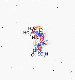 CC(O)[C@H](NC(=O)CNC(=O)[C@H](Cc1ccc(O)cc1)NC(=O)[C@H](C)NC(=O)[C@H](CC(=O)O)NC(=O)[C@@H](C)CS)C(=O)N[C@@H](CS)C(=O)N[C@@H](Cc1ccc(-c2ccccc2)cc1)C(=O)N[C@@H](CC(=O)O)C(N)=O